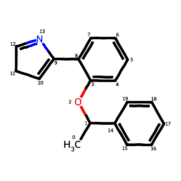 CC(Oc1ccccc1C1=CCC=N1)c1ccccc1